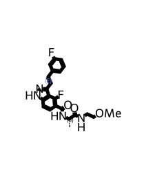 COCCNC(=O)[C@H](C)NC(=O)c1ccc2[nH]nc(/C=C/c3cccc(F)c3)c2c1F